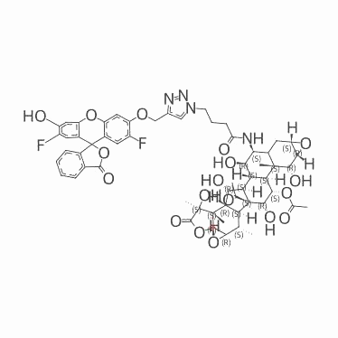 CC(=O)O[C@H]1[C@H]2[C@@H]([C@@H](O)[C@@H](NC(=O)CCCn3cc(COc4cc5c(cc4F)C4(OC(=O)c6ccccc64)c4cc(F)c(O)cc4O5)nn3)C3C[C@@H]4O[C@@H]4[C@H](O)[C@@]32C)[C@@H]2[C@@H](O)[C@@H]3[C@H]([C@H](C)[C@H]4O[C@]45OC(=O)[C@@](C)(O)[C@]35C)[C@@]2(C(C)=O)[C@H]1O